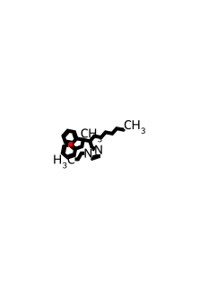 CCCCCCCC(c1nccn1CCC)C(C)(Cc1ccccc1)c1ccccc1